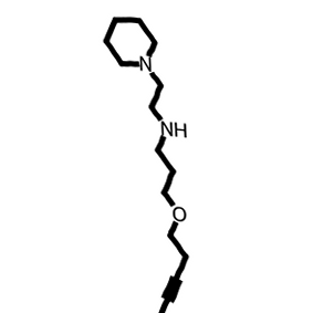 CC#CCCOCCCNCCN1CCCCC1